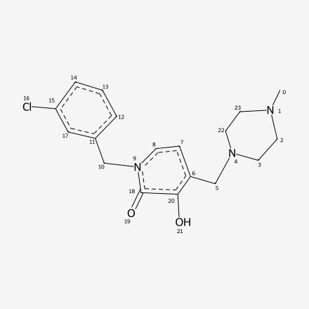 CN1CCN(Cc2ccn(Cc3cccc(Cl)c3)c(=O)c2O)CC1